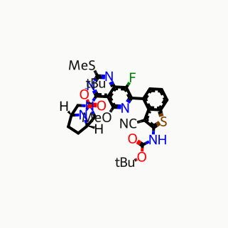 COc1nc(-c2cccc3sc(NC(=O)OC(C)(C)C)c(C#N)c23)c(F)c2nc(SC)nc(N3C[C@H]4CC[C@@H](C3)N4C(=O)OC(C)(C)C)c12